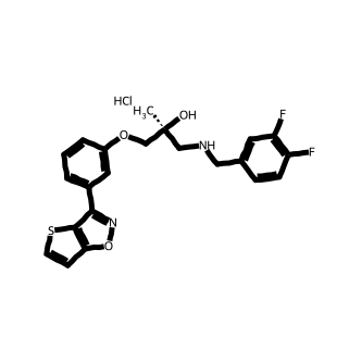 C[C@](O)(CNCc1ccc(F)c(F)c1)COc1cccc(-c2noc3ccsc23)c1.Cl